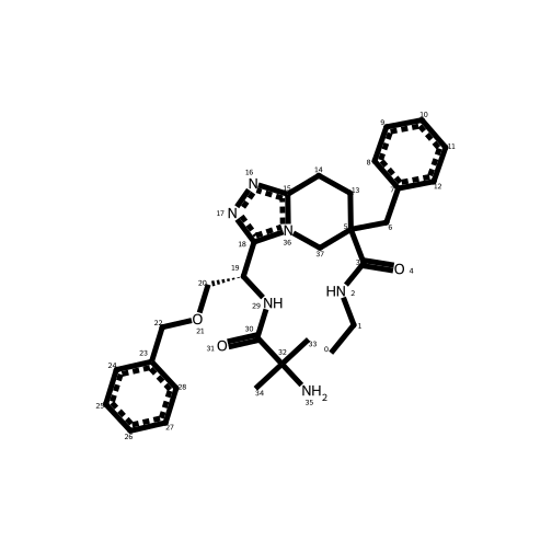 CCNC(=O)C1(Cc2ccccc2)CCc2nnc([C@@H](COCc3ccccc3)NC(=O)C(C)(C)N)n2C1